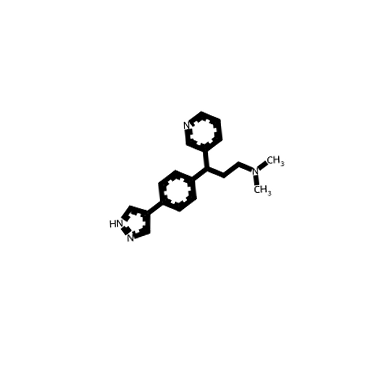 CN(C)CCC(c1ccc(-c2cn[nH]c2)cc1)c1cccnc1